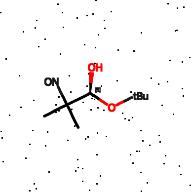 CC(C)(C)O[C@H](O)C(C)(C)N=O